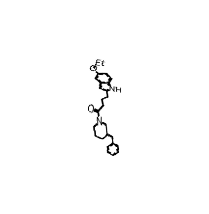 CCOc1ccc2[nH]c(CCCC(=O)N3CCCC(Cc4ccccc4)C3)cc2c1